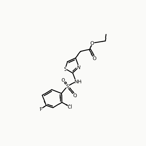 CCOC(=O)Cc1csc(NS(=O)(=O)c2ccc(F)cc2Cl)n1